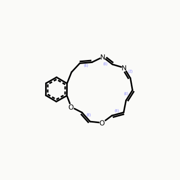 C1=N\C=N\C=C\Cc2ccccc2O/C=C/O/C=C/C=C/1